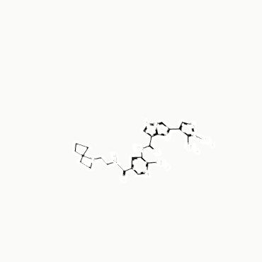 Cc1ncc(C(=O)NCCN2CCC23CCC3)cc1NC(=O)c1cnn2cc(-c3cnn(C)c3C)sc12